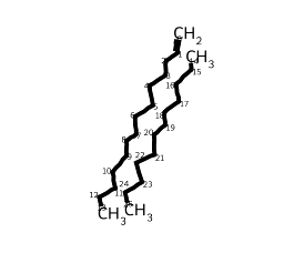 C=CCCCCCCCCCCCC.CCCCCCCCCCCC